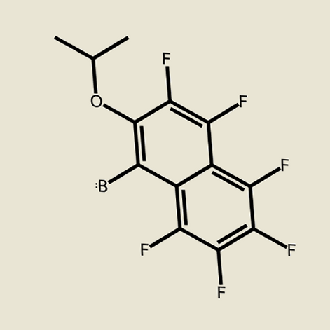 [B]c1c(OC(C)C)c(F)c(F)c2c(F)c(F)c(F)c(F)c12